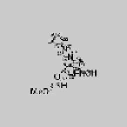 COCCNC(=O)CC1CC[C@H](C(=O)N2CCN(c3ccccc3)CC2)[C@@H](C(=O)NO)C1